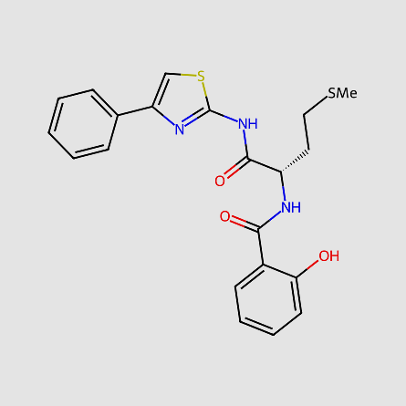 CSCC[C@H](NC(=O)c1ccccc1O)C(=O)Nc1nc(-c2ccccc2)cs1